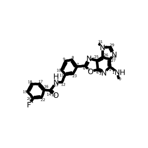 CNc1nc2oc(-c3cccc(CNC(=O)c4cccc(F)c4)c3)nc2c2c1ncn2C